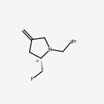 C=C1C[C@@H](CF)N(C[C](C)C)C1